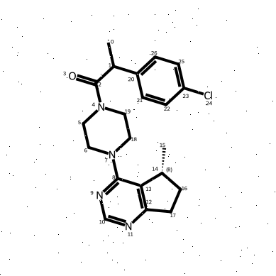 [CH2]C(C(=O)N1CCN(c2ncnc3c2[C@H](C)CC3)CC1)c1ccc(Cl)cc1